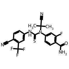 CC(C)(C#N)N(C(=S)Nc1ccc(C#N)c(C(F)(F)F)c1)c1ccc(C(N)=O)c(F)c1